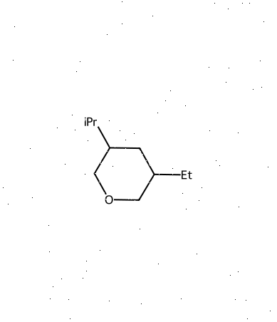 CCC1COCC(C(C)C)C1